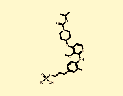 COc1c(OC2CCN(C(=O)OC(C)C)CC2)ccnc1Nc1ccc(CCCOP(=O)(O)O)cc1F